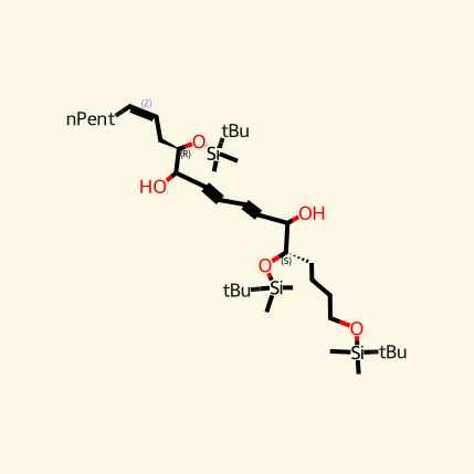 CCCCC/C=C\C[C@@H](O[Si](C)(C)C(C)(C)C)C(O)C#CC#CC(O)[C@H](CCCCO[Si](C)(C)C(C)(C)C)O[Si](C)(C)C(C)(C)C